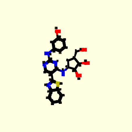 OC[C@H]1C[C@@H](Nc2nc(Nc3cccc(O)c3)ncc2-c2nc3ccccc3s2)[C@H](O)[C@@H]1O